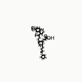 COc1ccc2nccc([C@H](F)CC[C@@H]3CCN(CCCSC4CCCC4)C[C@H]3CCC(=O)O)c2c1